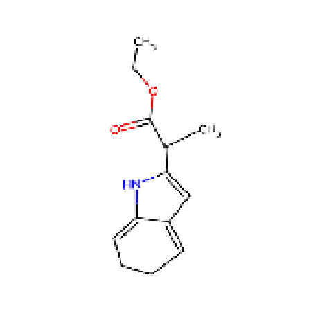 CCOC(=O)C(C)c1cc2c([nH]1)=CCCC=2